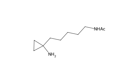 CC(=O)NCCCCCC1(N)CC1